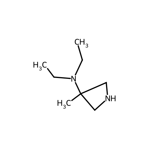 CCN(CC)C1(C)CNC1